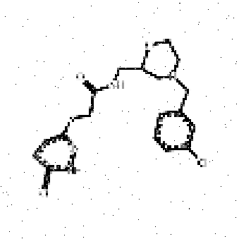 O=C(CSc1ccc(=O)[nH]n1)NCC1CN(Cc2cccc(Cl)c2)CCO1